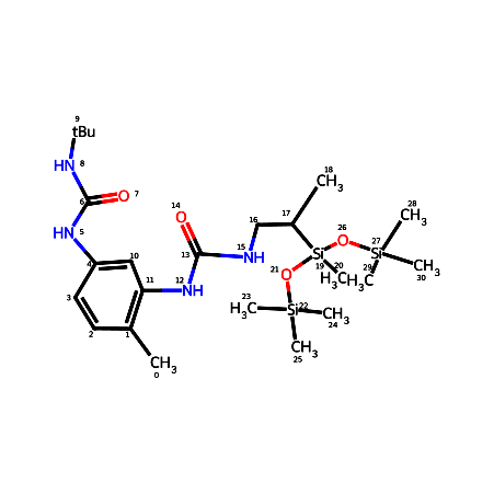 Cc1ccc(NC(=O)NC(C)(C)C)cc1NC(=O)NCC(C)[Si](C)(O[Si](C)(C)C)O[Si](C)(C)C